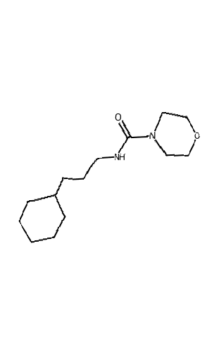 O=C(NCCCC1CCCCC1)N1CCOCC1